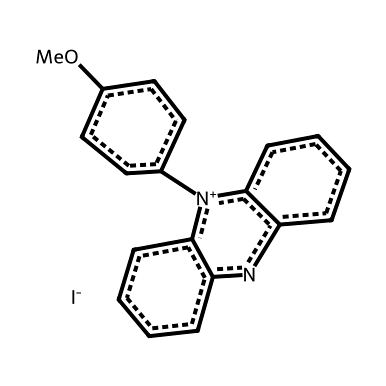 COc1ccc(-[n+]2c3ccccc3nc3ccccc32)cc1.[I-]